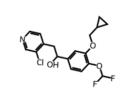 OC(Cc1ccncc1Cl)c1ccc(OC(F)F)c(OCC2CC2)c1